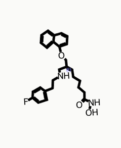 O=C(CCCC/C=C(\CNCCc1ccc(F)cc1)COc1cccc2ccccc12)NO